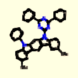 CCCCc1ccc2c(c1)c1cc3c4cc(CCCC)ccc4n(-c4nc(-c5ccccc5)nc(-c5ccccc5)n4)c3cc1n2-c1ccccc1